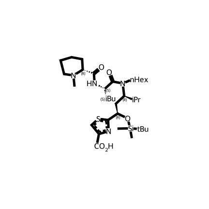 CCCCCCN(C(=O)[C@@H](NC(=O)[C@H]1CCCCN1C)[C@@H](C)CC)[C@H](C[C@@H](O[Si](C)(C)C(C)(C)C)c1nc(C(=O)O)cs1)C(C)C